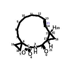 O=C1NS(=O)(=O)C2(CCCCCC/C=C/[C@@H]3C[C@H]13)CC2